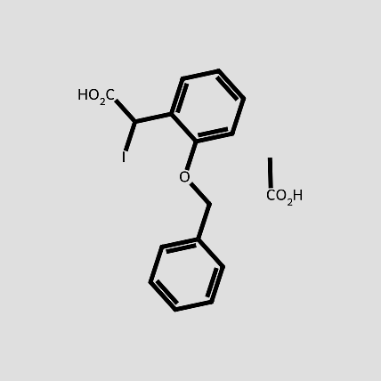 CC(=O)O.O=C(O)C(I)c1ccccc1OCc1ccccc1